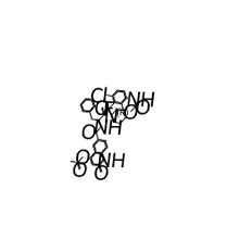 CC(=O)Oc1cc(=O)[nH]c2ccc(C(=O)NC(Cc3ccccc3)C(=O)N3CCC[C@@]4(C3)OC(=O)Nc3ccc(Cl)c(F)c34)cc12